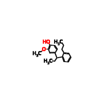 CCCc1ccccc1C(CC)c1ccc(O)c(OC)c1